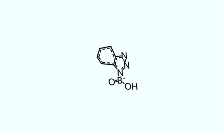 O=[B-](O)n1nnc2ccccc21